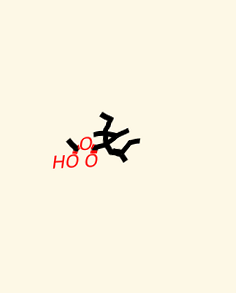 CC/C(C)=C\C1(C(=O)OC(C)O)C(C)C1(C)CC